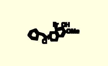 COc1cc2c(c(Br)c1O)CN(C(Cl)Cc1ccccc1)CC2